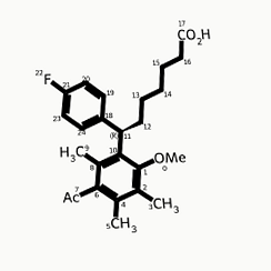 COc1c(C)c(C)c(C(C)=O)c(C)c1[C@H](CCCCCC(=O)O)c1ccc(F)cc1